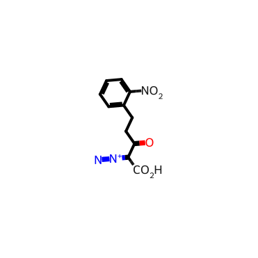 [N-]=[N+]=C(C(=O)O)C(=O)CCc1ccccc1[N+](=O)[O-]